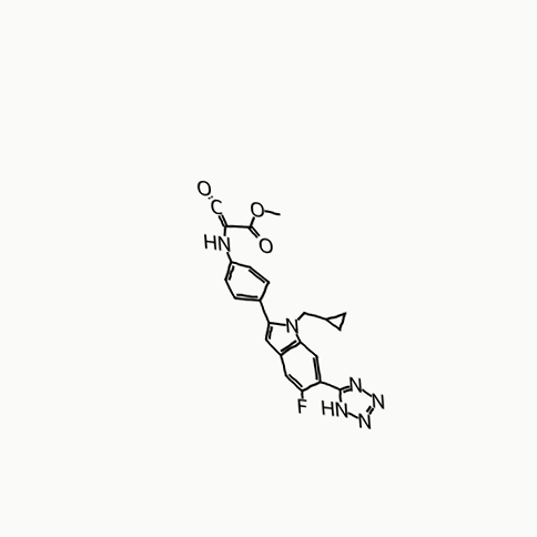 COC(=O)C(=C=O)Nc1ccc(-c2cc3cc(F)c(-c4nnn[nH]4)cc3n2CC2CC2)cc1